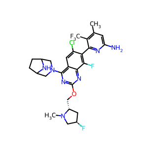 Cc1cc(N)nc(-c2c(Cl)cc3c(N4CC5CCC(C4)N5)nc(OC[C@@H]4C[C@@H](F)CN4C)nc3c2F)c1C(F)(F)F